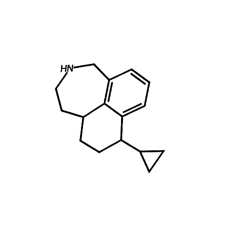 c1cc2c3c(c1)C(C1CC1)CCC3CCNC2